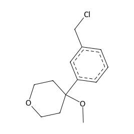 COC1(c2cccc(CCl)c2)CCOCC1